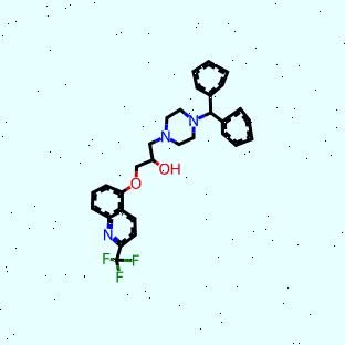 OC(COc1cccc2nc(C(F)(F)F)ccc12)CN1CCN(C(c2ccccc2)c2ccccc2)CC1